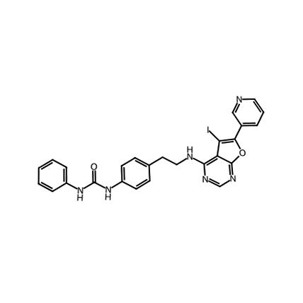 O=C(Nc1ccccc1)Nc1ccc(CCNc2ncnc3oc(-c4cccnc4)c(I)c23)cc1